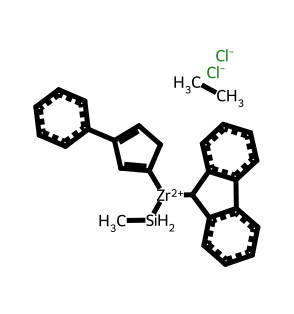 CC.C[SiH2][Zr+2]([C]1=CC(c2ccccc2)=CC1)[CH]1c2ccccc2-c2ccccc21.[Cl-].[Cl-]